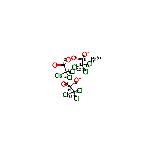 O=C([O-])C(Cl)(Cl)Cl.O=C([O-])C(Cl)(Cl)Cl.O=C([O-])C(Cl)(Cl)Cl.[Pr+3]